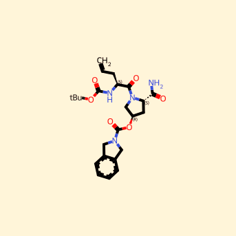 C=CC[C@H](NC(=O)OC(C)(C)C)C(=O)N1C[C@H](OC(=O)N2Cc3ccccc3C2)C[C@H]1C(N)=O